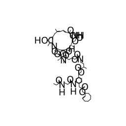 CCC(=O)NCCC(=O)Nc1cc(COC(=O)C(C)CCN(C)C(=O)OCCC(=O)N(C)[C@@H](C)C(=O)O[C@H]2CC(=O)N(C)c3cc(cc(O)c3C)C/C(C)=C/C=C/C(OC)C3(O)CC(OC(=O)N3)[C@@H](C)[C@@H]3O[C@@]23C)ccc1CC(=O)OC1/C=C/CCCCC1